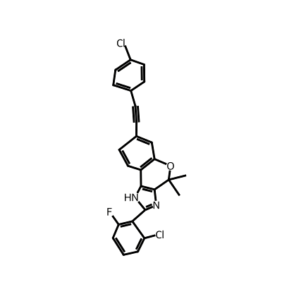 CC1(C)Oc2cc(C#Cc3ccc(Cl)cc3)ccc2-c2[nH]c(-c3c(F)cccc3Cl)nc21